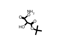 CC(C)(C)OC(=O)C(O)C(=O)ON